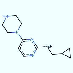 c1cc(N2CCNCC2)nc([AsH]CC2CC2)n1